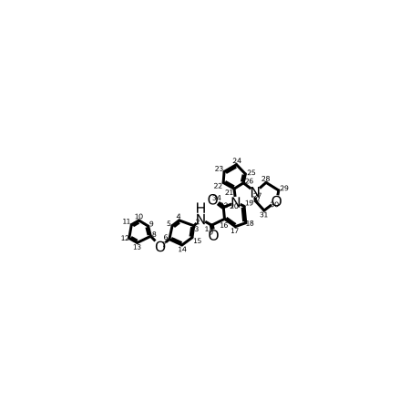 O=C(Nc1ccc(Oc2ccccc2)cc1)c1cccn(-c2ccccc2N2CCOCC2)c1=O